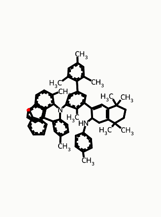 Cc1ccc(NC2CC3=C(C=C2c2cc(-c4c(C)cc(C)cc4C)cc(N(c4ccc(C)cc4-c4ccccc4)c4c(C)ccc5c4-c4ccccc4C5)c2C)C(C)(C)CCC3(C)C)cc1